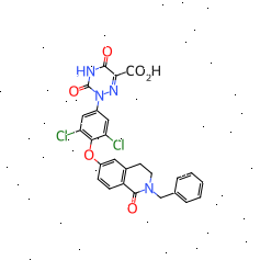 O=C(O)c1nn(-c2cc(Cl)c(Oc3ccc4c(c3)CCN(Cc3ccccc3)C4=O)c(Cl)c2)c(=O)[nH]c1=O